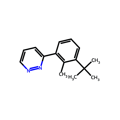 Cc1c(-c2cccnn2)cccc1C(C)(C)C